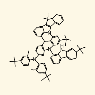 Cc1cc(C(C)(C)C)ccc1N(c1ccc2c(c1)N(c1cccc3c4c([nH]c13)=CC(C(C)(C)C)CC=4)c1cc(C(C)(C)C)cc3c1C2c1cccc2c4c(n-3c12)C1=CC=CCC1C4(C)C)c1ccc(C(C)(C)C)cc1C